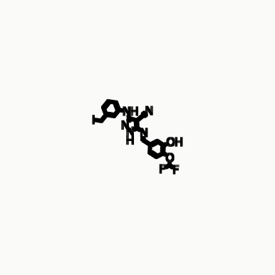 N#Cc1c(Nc2cccc(CI)c2)n[nH]c1/N=C/c1ccc(OC(F)F)c(O)c1